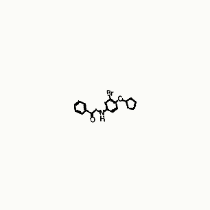 O=C(CNc1ccc(OC2CCCC2)c(Br)c1)c1ccccc1